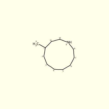 CC1CCCCCCCNCC1